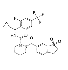 O=C(NC(c1ccc(C(F)(F)F)cc1F)C1CC1)[C@H]1CCCCN1C(=O)c1ccc2c(c1)S(=O)(=O)CC2